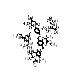 CCNc1nc(Cl)nc(NC(C)C)n1.CCc1ccc(COc2ccc(-n3c(=O)cc(C(F)(F)F)n(C)c3=O)cc2)c(OC(C)C(=O)OC)c1.CCc1cccc(C)c1N(C(=O)CCl)C(C)COC.C[S+](C)C.O=C(O)CNCP(=O)([O-])O